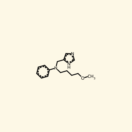 COCCCCN(Cc1cnc[nH]1)c1ccccc1